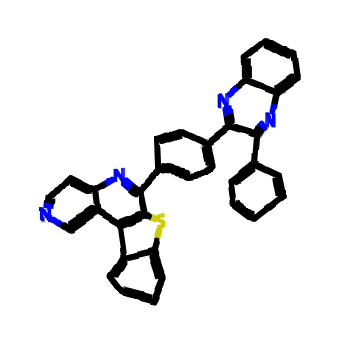 c1ccc(-c2nc3ccccc3nc2-c2ccc(-c3nc4ccncc4c4c3sc3ccccc34)cc2)cc1